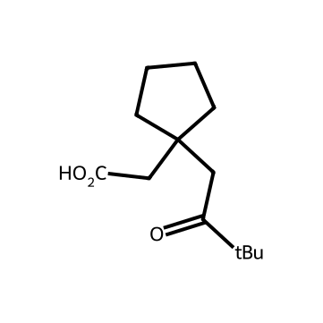 CC(C)(C)C(=O)CC1(CC(=O)O)CCCC1